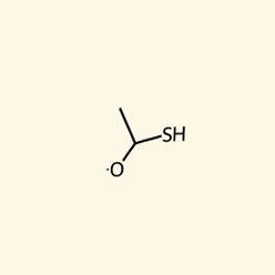 CC([O])S